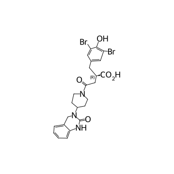 O=C(O)[C@@H](CC(=O)N1CCC(N2Cc3ccccc3NC2=O)CC1)Cc1cc(Br)c(O)c(Br)c1